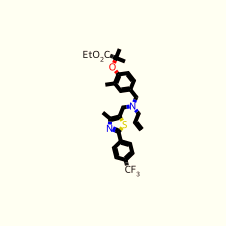 C=CCN(Cc1ccc(OC(C)(C)C(=O)OCC)c(C)c1)Cc1sc(-c2ccc(C(F)(F)F)cc2)nc1C